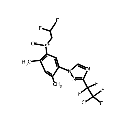 Cc1cc(C)c([S+]([O-])CC(F)F)cc1-n1cnc(C(F)(F)C(F)(F)Cl)n1